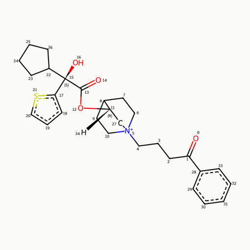 O=C(CCC[N+]12CCC(CC1)[C@@H](OC(=O)[C@](O)(c1cccs1)C1CCCC1)C2)c1ccccc1